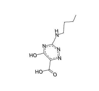 CCCCNc1nnc(C(=O)O)c(O)n1